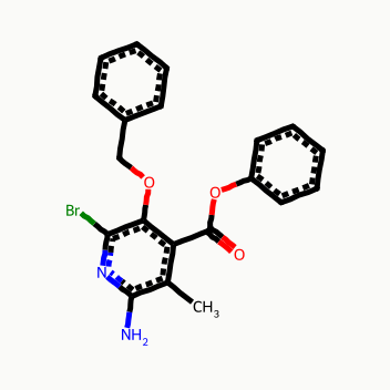 Cc1c(N)nc(Br)c(OCc2ccccc2)c1C(=O)Oc1ccccc1